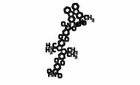 Cc1cc2c(cc1N=O)C1(c3ccccc3-2)c2ccccc2-c2cc(-n3c(=O)c4cc5oc6cc7c(cc6oc5cc4c3=O)C3(CC(C)(C)c4cc5oc6cc8c(=O)[nH]c(=O)c8cc6oc5cc43)CC7(C)C)c(N=O)cc21